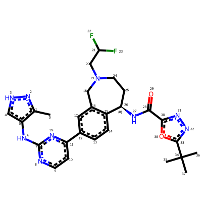 Cc1n[nH]cc1Nc1nccc(-c2ccc3c(c2)CN(CC(F)F)CC[C@H]3NC(=O)c2nnc(C(C)(C)C)o2)n1